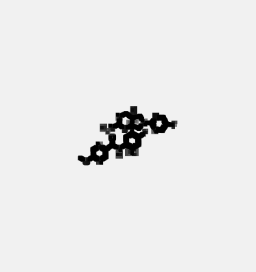 COc1cnc(C(=O)Nc2ccc(F)c([C@]34CN(c5ncc(F)cn5)C[C@@H]3CN=C(N)S4)c2)cn1.Cl